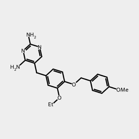 CCOc1cc(Cc2cnc(N)nc2N)ccc1OCc1ccc(OC)cc1